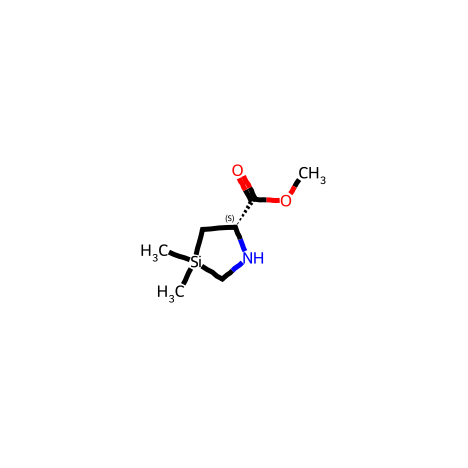 COC(=O)[C@H]1C[Si](C)(C)CN1